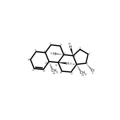 CC[C@H]1CC[C@H]2[C@@H]3CCC4CCC=C[C@]4(C)[C@H]3CC[C@]12C